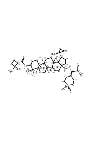 CC1(C)CC[C@@H]1C(=O)O[C@H]1CC[C@]2(C)[C@H]3CC[C@@H]4[C@H]5[C@H](C6(C)CC6)CC[C@]5(NC[C@H](C(=O)O)N5CCS(=O)(=O)CC5)CC[C@@]4(C)[C@]3(C)CC[C@H]2C1(C)C